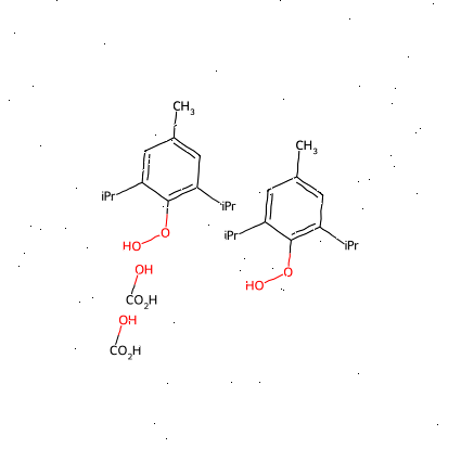 Cc1cc(C(C)C)c(OO)c(C(C)C)c1.Cc1cc(C(C)C)c(OO)c(C(C)C)c1.O=C(O)O.O=C(O)O